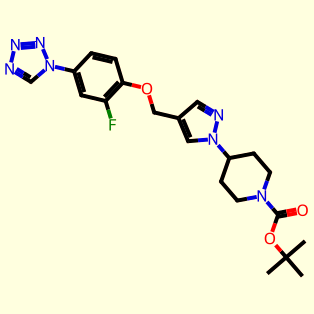 CC(C)(C)OC(=O)N1CCC(n2cc(COc3ccc(-n4cnnn4)cc3F)cn2)CC1